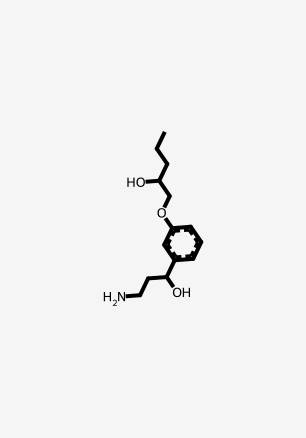 CCCC(O)COc1cccc(C(O)CCN)c1